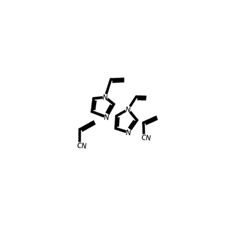 C=CC#N.C=CC#N.C=Cn1ccnc1.C=Cn1ccnc1